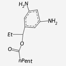 CCCCCC(=O)OC(CC)c1cc(N)cc(N)c1